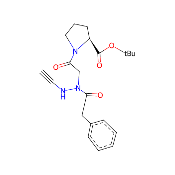 C#CNN(CC(=O)N1CCC[C@H]1C(=O)OC(C)(C)C)C(=O)Cc1ccccc1